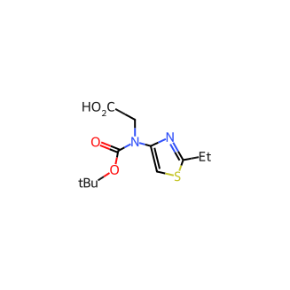 CCc1nc(N(CC(=O)O)C(=O)OC(C)(C)C)cs1